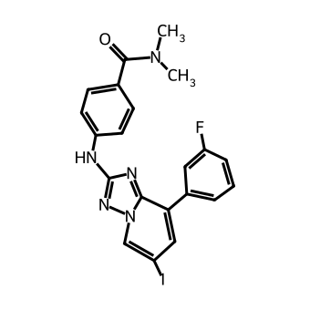 CN(C)C(=O)c1ccc(Nc2nc3c(-c4cccc(F)c4)cc(I)cn3n2)cc1